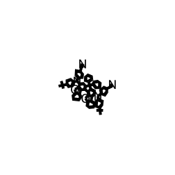 CC(C)(C)c1ccc(N(c2ccc(C#N)cc2)c2cc3c(c4c2oc2ccccc24)-c2c(cc(N(c4ccc(C#N)cc4)c4ccc(C(C)(C)C)cc4)c4c2oc2ccccc24)C3(c2ccccc2)c2ccccc2)cc1